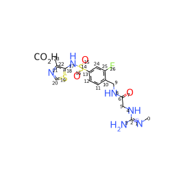 C/N=C(/N)NCC(=O)NCc1ccc(S(=O)(=O)Nc2scnc2C(=O)O)cc1F